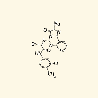 CCC(SC1=Nc2ccccc2C2=NC(C(C)CC)C(=O)N12)C(=O)Nc1ccc(C)c(Cl)c1